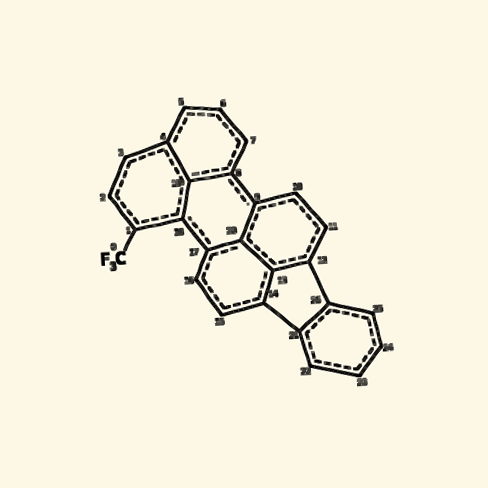 FC(F)(F)c1ccc2cccc3c4ccc5c6c(ccc(c1c23)c64)-c1ccccc1-5